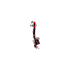 CC(=O)CCC(=O)NCCOCCOCCOCCOCCNC(=O)c1cc(-c2ccnn2-c2ccc(C#N)cc2)c(C)n(-c2cccc(C(F)(F)F)c2)c1=O